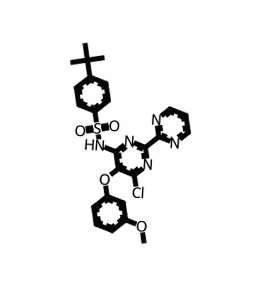 COc1cccc(Oc2c(Cl)nc(-c3ncccn3)nc2NS(=O)(=O)c2ccc(C(C)(C)C)cc2)c1